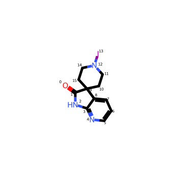 O=C1Nc2ncccc2C12CCN(I)CC2